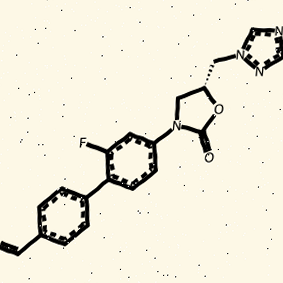 O=Cc1ccc(-c2ccc(N3C[C@H](Cn4cncn4)OC3=O)cc2F)cc1